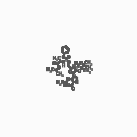 CC(C)OC(=O)[C@H](C)N[P@](=O)(OCC1=C[C@@H](O[Si](C)(C)C(C)(C)C)[C@H](n2cnc3c(=O)[nH]c(N)nc32)O1)Oc1ccccc1